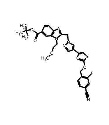 COCCn1c(Cn2cc(-c3csc(OCc4ccc(C#N)cc4F)n3)cn2)nc2ccc(C(=O)OC(C)(C)C)cc21